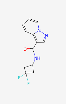 O=C(NC1CC(F)(F)C1)c1cnn2ccccc12